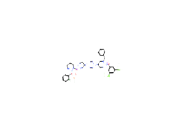 O=C(C1CCCCN1C(=O)c1ccccc1Cl)N1CCC(N2CCN(C3CCN(C(=O)c4cc(C(F)(F)F)cc(C(F)(F)F)c4)C(Cc4ccccc4)C3)CC2)C1